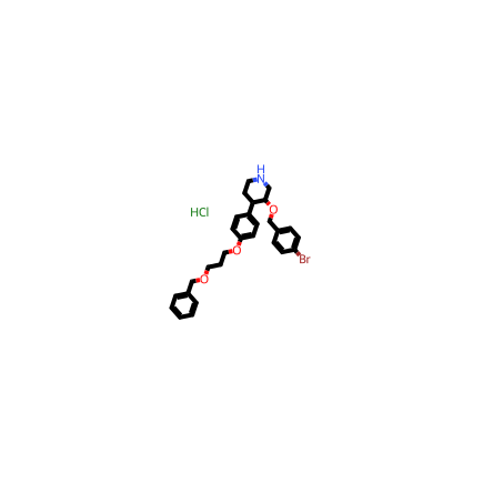 Brc1ccc(COC2CNCCC2c2ccc(OCCCOCc3ccccc3)cc2)cc1.Cl